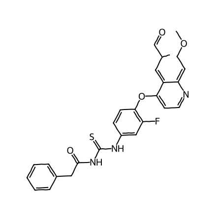 COC/C=c1/nccc(Oc2ccc(NC(=S)NC(=O)Cc3ccccc3)cc2F)/c1=C/C(C)C=O